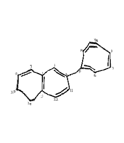 C1=Cc2cc(-c3ccccc3)ccc2CC1